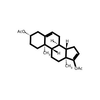 CC(=O)OC1=CC[C@H]2[C@@H]3CC=C4C[C@@H](OC(C)=O)CC[C@]4(C)[C@H]3CC[C@]12C